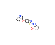 OC[C@H](Nc1nc2ccc(Oc3ccnc4ccccc34)cc2s1)C1CCCCC1